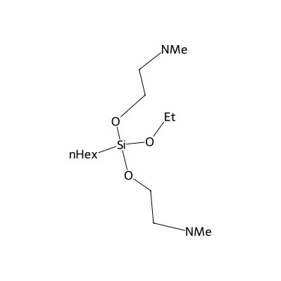 CCCCCC[Si](OCC)(OCCNC)OCCNC